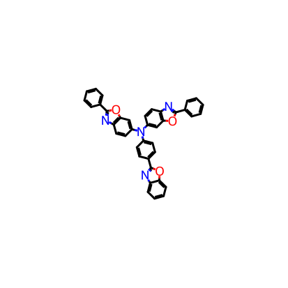 c1ccc(-c2nc3ccc(N(c4ccc(-c5nc6ccccc6o5)cc4)c4ccc5nc(-c6ccccc6)oc5c4)cc3o2)cc1